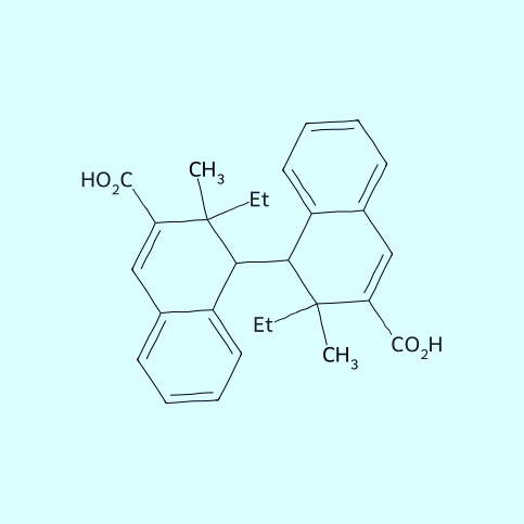 CCC1(C)C(C(=O)O)=Cc2ccccc2C1C1c2ccccc2C=C(C(=O)O)C1(C)CC